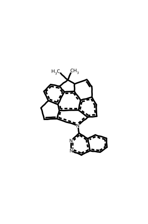 CC1(C)c2ccc3c4c2c2c5c(ccc6c5c4c(n6-c4nncc5ccccc45)=CC3)C=CC21